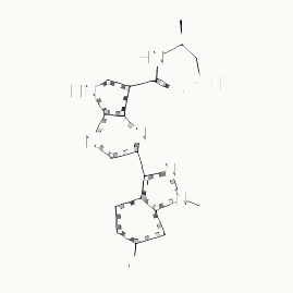 C[C@H](O)[C@H](C)NC(=O)c1c[nH]c2ncc(-c3nn(C)c4cc(Cl)ccc34)nc12